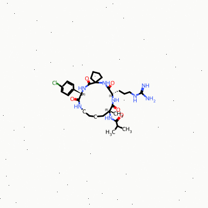 CC(C)C(=O)N[C@]1(C)CCCCNC(=O)[C@@H](c2ccc(Cl)cc2)NC(=O)C2(CCCC2)NC(=O)[C@H](CCCNC(=N)N)NC1=O